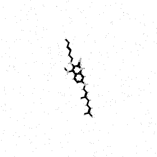 CC/C=C/CCOc1c(OC)c2ccc(OC/C=C(\C)CCC=C(C)C)cc2oc1=O